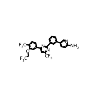 Nc1ccc(-c2cccc(-c3nc(-c4ccc(C(F)(F)F)c(OCC(F)(F)F)c4)cc(C(F)(F)F)n3)c2)cn1